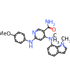 COc1ccc(Nc2cc(N(C)c3cccc4ccn(C)c34)c(C(N)=O)cn2)cc1